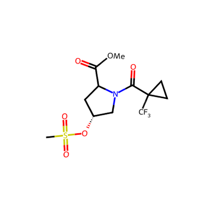 COC(=O)C1C[C@@H](OS(C)(=O)=O)CN1C(=O)C1(C(F)(F)F)CC1